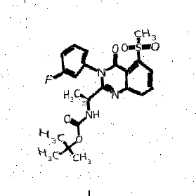 C[C@H](NC(=O)OC(C)(C)C)c1nc2cccc(S(C)(=O)=O)c2c(=O)n1-c1cccc(F)c1